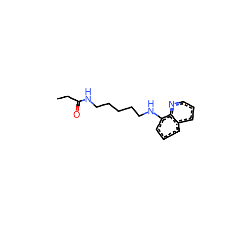 CCC(=O)NCCCCCNc1cccc2cccnc12